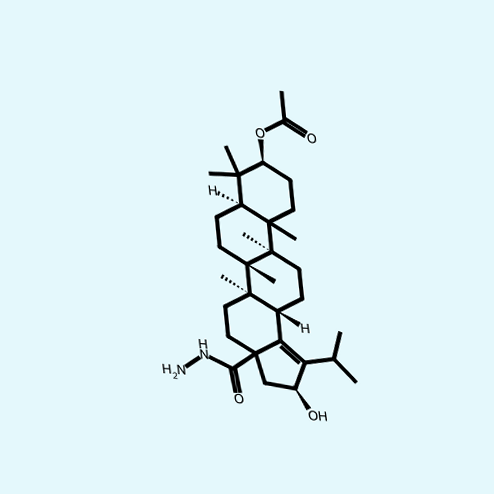 CC(=O)O[C@H]1CCC2(C)[C@@H](CC[C@@]3(C)[C@]4(C)CCC5(C(=O)NN)C[C@H](O)C(C(C)C)=C5[C@H]4CC[C@]23C)C1(C)C